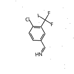 N=Cc1ccc(Cl)c(C(F)(F)I)c1